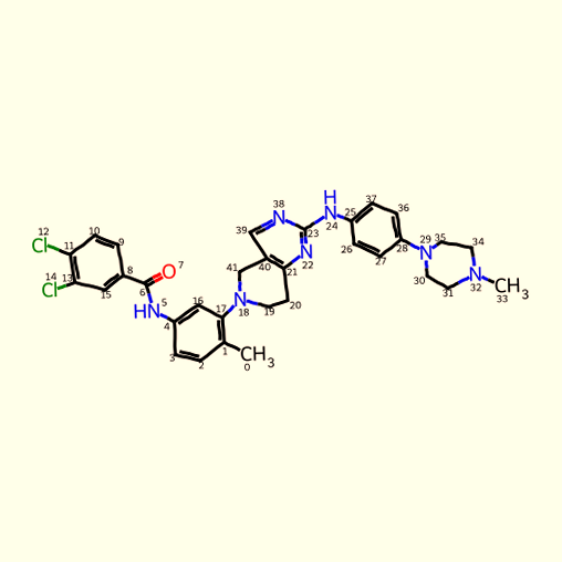 Cc1ccc(NC(=O)c2ccc(Cl)c(Cl)c2)cc1N1CCc2nc(Nc3ccc(N4CCN(C)CC4)cc3)ncc2C1